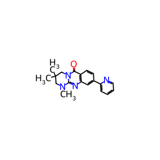 CN1CC(C)(C)Cn2c1nc1cc(-c3ccccn3)ccc1c2=O